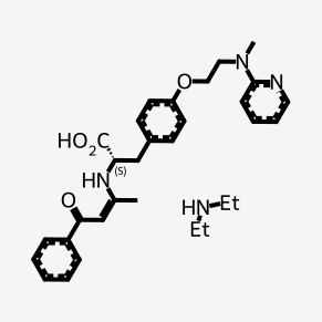 CC(=CC(=O)c1ccccc1)N[C@@H](Cc1ccc(OCCN(C)c2ccccn2)cc1)C(=O)O.CCNCC